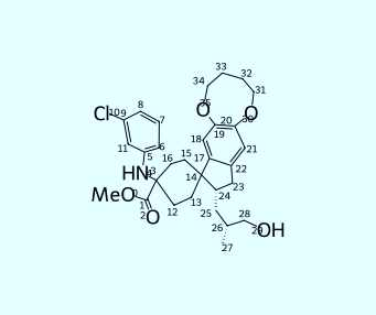 COC(=O)C1(Nc2cccc(Cl)c2)CCC2(CC1)c1cc3c(cc1C[C@@H]2C[C@@H](C)CO)OCCCCO3